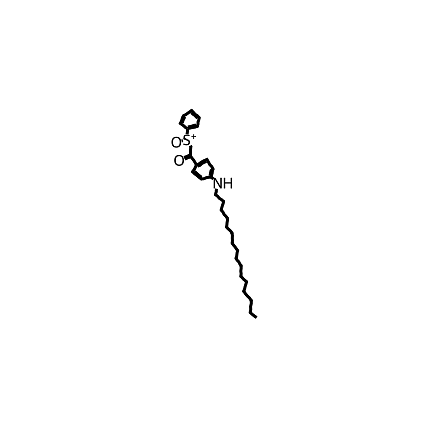 CCCCCCCCCCCCCCCCNc1ccc(C(=O)C[S+]([O-])c2ccccc2)cc1